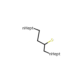 CCCCCCCCCC([S])CCCCCCCC